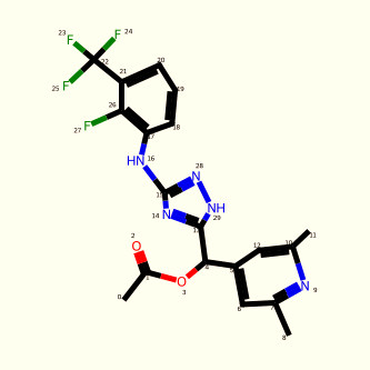 CC(=O)OC(c1cc(C)nc(C)c1)c1nc(Nc2cccc(C(F)(F)F)c2F)n[nH]1